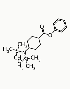 C[Si](C)(C)N(C1CCC(C(=O)Oc2ccccc2)CC1)[Si](C)(C)C